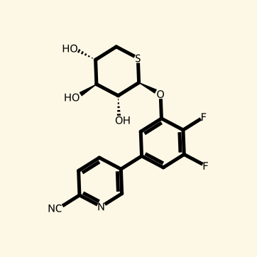 N#Cc1ccc(-c2cc(F)c(F)c(O[C@@H]3SC[C@@H](O)[C@H](O)[C@H]3O)c2)cn1